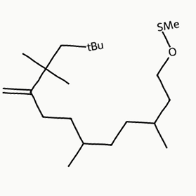 C=C(CCC(C)CCC(C)CCOSC)C(C)(C)CC(C)(C)C